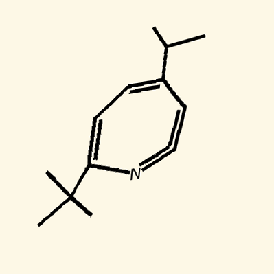 CC(C)C1=CC=C(C(C)(C)C)N=C=C1